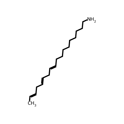 CC=CCC=CCC=CCCCCCCCCCN